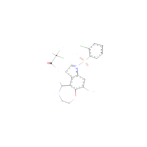 COc1cc2c(ccn2S(=O)(=O)c2ccccc2Cl)c2c1OCCNC2C.O=C(O)C(F)(F)F